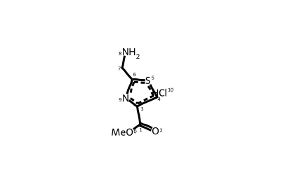 COC(=O)c1csc(CN)n1.Cl